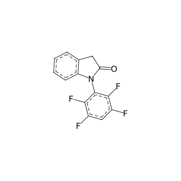 O=C1Cc2ccccc2N1c1c(F)c(F)cc(F)c1F